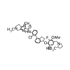 COc1c(CN2CCCC2C(=O)O)cc(Cl)c(OC2CCc3c(-c4cccc(NC(=O)c5nc6c(n5C)CCN(C)C6)c4Cl)cccc32)c1F